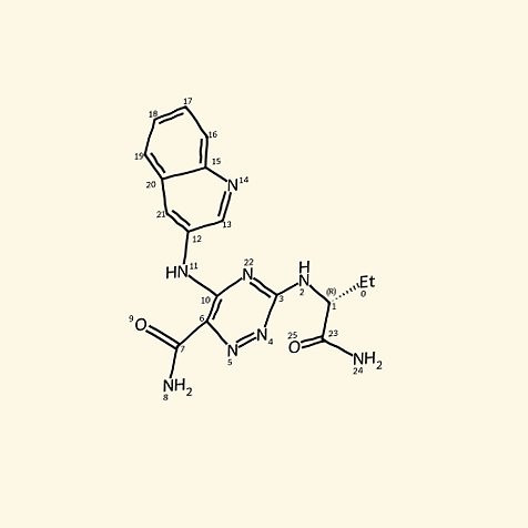 CC[C@@H](Nc1nnc(C(N)=O)c(Nc2cnc3ccccc3c2)n1)C(N)=O